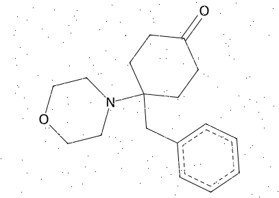 O=C1CCC(Cc2ccccc2)(N2CCOCC2)CC1